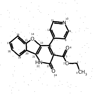 CCOC(=O)c1c(-c2ccncc2)c2oc3ccccc3c2[nH]c1=O